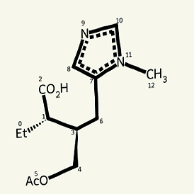 CC[C@H](C(=O)O)[C@H](COC(C)=O)Cc1cncn1C